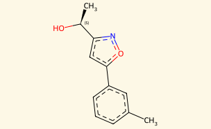 Cc1cccc(-c2cc([C@H](C)O)no2)c1